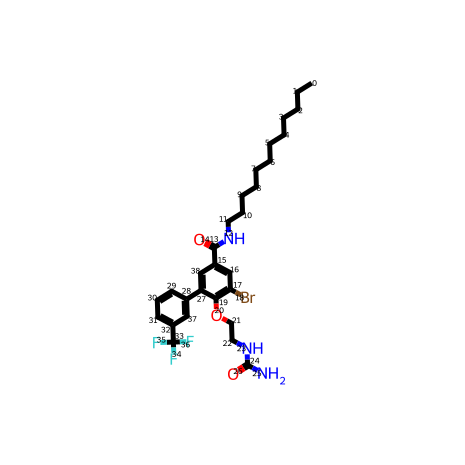 CCCCCCCCCCCCNC(=O)c1cc(Br)c(OCCNC(N)=O)c(-c2cccc(C(F)(F)F)c2)c1